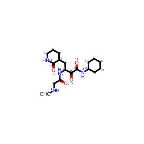 O=CNCC(=O)NC(CC1CCCNC1=O)C(=O)C(=O)NC1CCCCC1